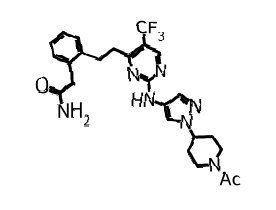 CC(=O)N1CCC(n2cc(Nc3ncc(C(F)(F)F)c(CCc4ccccc4CC(N)=O)n3)cn2)CC1